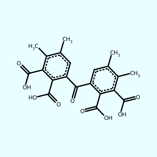 Cc1cc(C(=O)c2cc(C)c(C)c(C(=O)O)c2C(=O)O)c(C(=O)O)c(C(=O)O)c1C